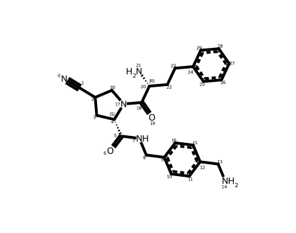 N#CC1C[C@@H](C(=O)NCc2ccc(CN)cc2)N(C(=O)[C@H](N)CCc2ccccc2)C1